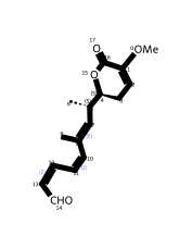 COC1=CC[C@@H]([C@@H](C)/C=C(C)/C=C\C=C/C=O)OC1=O